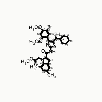 COC(=O)Cn1c(C(=O)Nc2nc(-c3cc(Br)c(OC)cc3OC)c(C(C)C3CCCCC3)s2)cc2cc(C)cc(C)c21